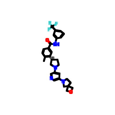 Cc1ccc(C(=O)Nc2cccc(C(F)(F)F)c2)cc1[C@@H]1CCN(c2cncc(N3CCC4(COC4)C3)c2)C1